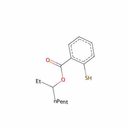 CCCCCC(CC)OC(=O)c1ccccc1S